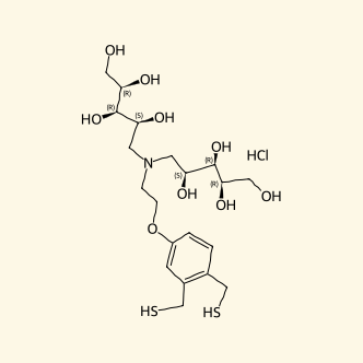 Cl.OC[C@@H](O)[C@H](O)[C@@H](O)CN(CCOc1ccc(CS)c(CS)c1)C[C@H](O)[C@@H](O)[C@H](O)CO